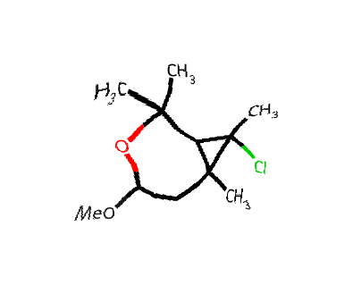 COC1CC2(C)C(C(C)(C)O1)C2(C)Cl